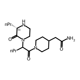 CCCC(C(=O)N1CCC(CC(N)=O)CC1)N1CCN[C@@H](CCC)C1=O